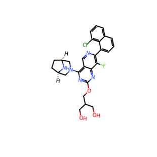 OCC(CO)COc1nc(N2C[C@H]3CC[C@@H](C2)N3)c2cnc(-c3cccc4cccc(Cl)c34)c(F)c2n1